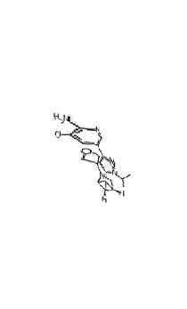 CC(C)n1nc(-c2cnc(N)c(Cl)c2)cc1[C@@]12C3[C@H]1[C@H]2CN3C1COC1